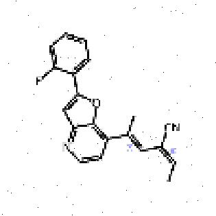 C/C=C(C#N)\C=C(/C)c1ccnc2cc(-c3ccccc3F)oc12